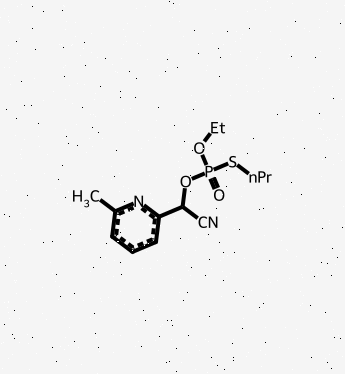 CCCSP(=O)(OCC)OC(C#N)c1cccc(C)n1